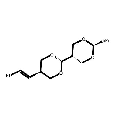 CC/C=C/[C@H]1CO[C@H]([C@H]2CO[C@H](CCC)OC2)OC1